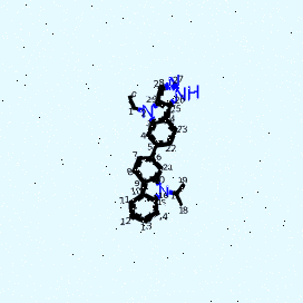 CCn1c2cc(-c3ccc4c5ccccc5n(C(C)C)c4c3)ccc2c2[nH]ncc21